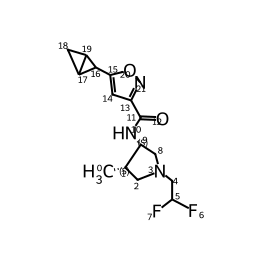 C[C@H]1CN(CC(F)F)C[C@H]1NC(=O)c1cc(C2C3CC32)on1